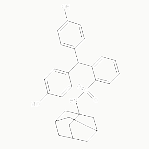 O=S(=O)(NC12CC3CC(CC(C3)C1)C2)c1ccccc1C(c1ccc(O)cc1)c1ccc(O)cc1